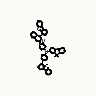 CC1(C)c2ccccc2-c2ccc(N(c3ccc(-c4cccc5c4oc4ccccc45)cc3)c3ccc4c(c3)oc3c(-c5cccc6c5oc5ccccc56)c5ccccc5cc34)cc21